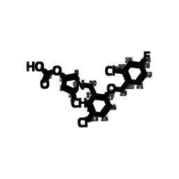 Cc1cc(OC(=O)O)cn1Cc1cc(Cl)ccc1OCc1ccc(F)cc1Cl